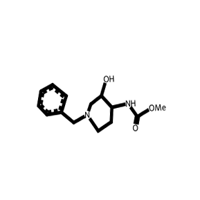 COC(=O)NC1CCN(Cc2ccccc2)CC1O